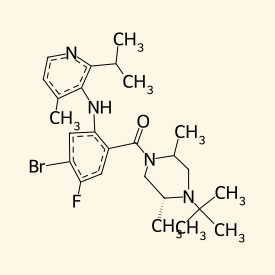 Cc1ccnc(C(C)C)c1Nc1cc(Br)c(F)cc1C(=O)N1C[C@@H](C)N(C(C)(C)C)CC1C